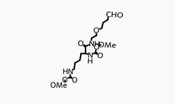 COOC(=O)NCCCCC(NC(=O)OOC)C(=O)NCCOCCCC=O